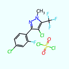 Cn1nc(-c2ccc(Cl)cc2F)c(Cl)c1C(F)(F)F.O=S(=O)(Cl)Cl